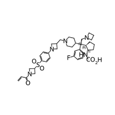 C=CC(=O)N1CC(S(=O)(=O)c2ccc(N3CC(CN4CCC([C@@](CN5CCC5)(c5cccc(F)c5)[C@H]5CCC[C@@H]5NC(=O)O)CC4)C3)cc2)C1